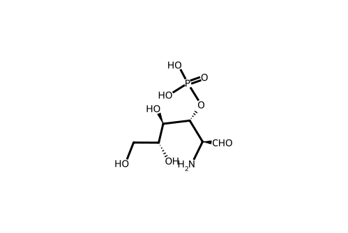 N[C@H](C=O)[C@@H](OP(=O)(O)O)[C@H](O)[C@H](O)CO